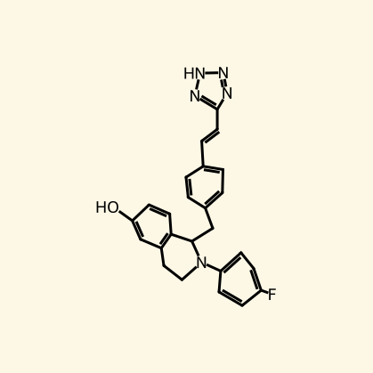 Oc1ccc2c(c1)CCN(c1ccc(F)cc1)C2Cc1ccc(/C=C/c2nn[nH]n2)cc1